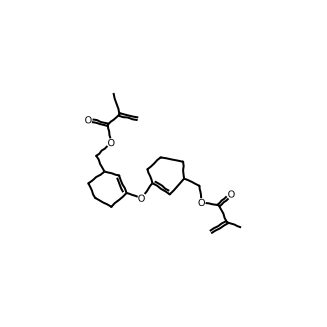 C=C(C)C(=O)OCC1C=C(OC2=CC(COC(=O)C(=C)C)CCC2)CCC1